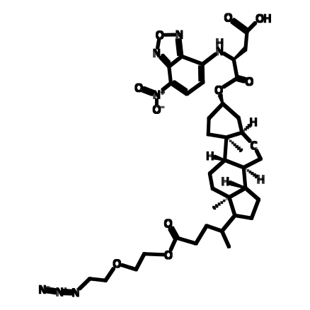 CC(CCC(=O)OCCOCCN=[N+]=[N-])C1CC[C@H]2[C@@H]3CC[C@@H]4C[C@H](OC(=O)[C@H](CC(=O)O)Nc5ccc([N+](=O)[O-])c6nonc56)CC[C@]4(C)[C@H]3CC[C@]12C